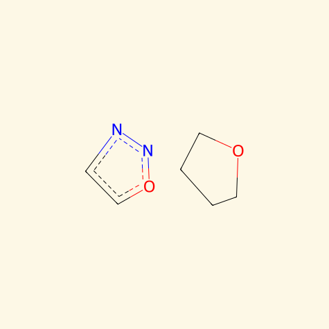 C1CCOC1.c1conn1